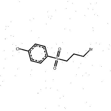 O=S(=O)(CCCBr)c1ccc(Cl)cc1